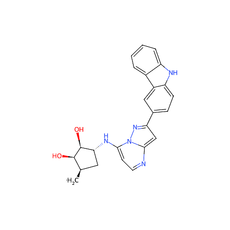 [CH2][C@@H]1C[C@@H](Nc2ccnc3cc(-c4ccc5[nH]c6ccccc6c5c4)nn23)[C@H](O)[C@@H]1O